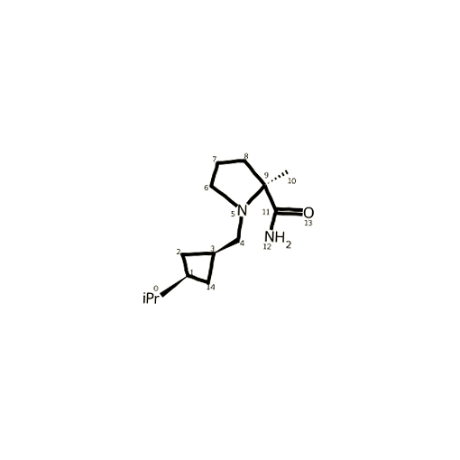 CC(C)[C@H]1C[C@@H](CN2CCC[C@@]2(C)C(N)=O)C1